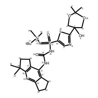 CC1(C)OCC(O)(c2ncc(S(=O)(=N[Si](C)(C)C(C)(C)C)NC(=O)Nc3c4c(nc5c3CCC5(C)C)CCC4)s2)CO1